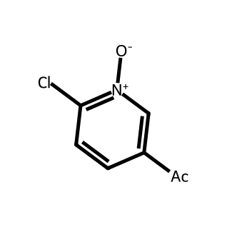 CC(=O)c1ccc(Cl)[n+]([O-])c1